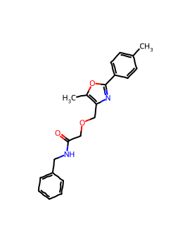 Cc1ccc(-c2nc(COCC(=O)NCc3ccccc3)c(C)o2)cc1